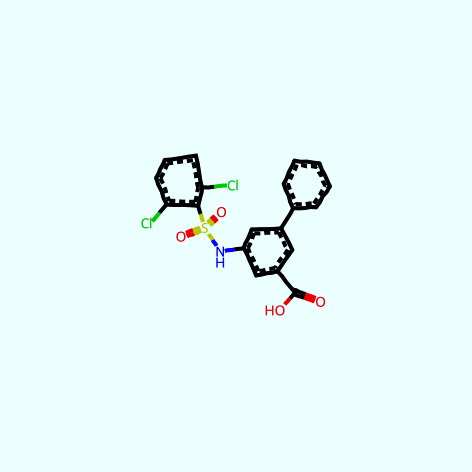 O=C(O)c1cc(NS(=O)(=O)c2c(Cl)cccc2Cl)cc(-c2ccccc2)c1